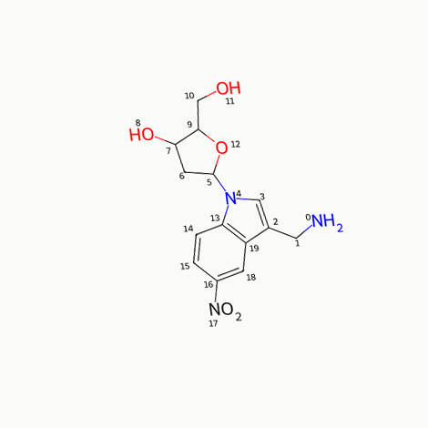 NCc1cn(C2CC(O)C(CO)O2)c2ccc([N+](=O)[O-])cc12